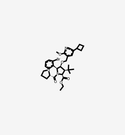 CCOC(=O)[C@@H]1[C@H](C(C)(C)C)[C@H](OCc2cc(C3CCC3)cnc2OC)[C@H](c2ccccc2Br)N1C(=O)[C@@H]1CCCO1